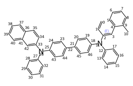 C=C/C(=C\c1ccccc1C)N(c1ccccc1)c1ccc(-c2ccc(N(c3ccccc3)c3ccc4ccccc4c3)cc2)cc1